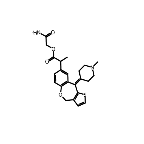 CC(C(=O)OCC([NH])=O)c1ccc2c(c1)C(=C1CCN(C)CC1)c1sccc1CO2